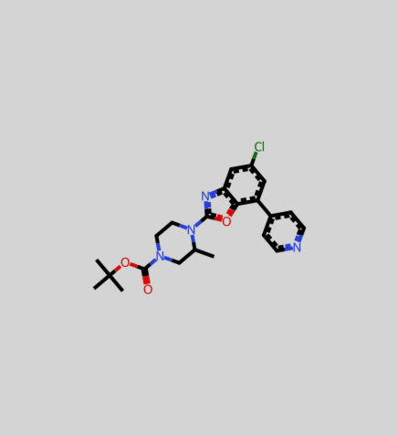 CC1CN(C(=O)OC(C)(C)C)CCN1c1nc2cc(Cl)cc(-c3ccncc3)c2o1